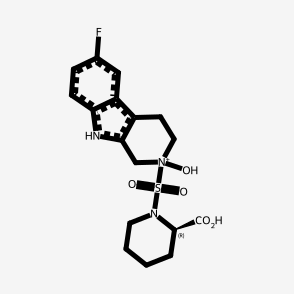 O=C(O)[C@H]1CCCCN1S(=O)(=O)[N+]1(O)CCc2c([nH]c3ccc(F)cc23)C1